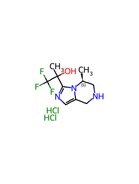 C[C@H]1CNCc2cnc(C(C)(O)C(F)(F)F)n21.Cl.Cl